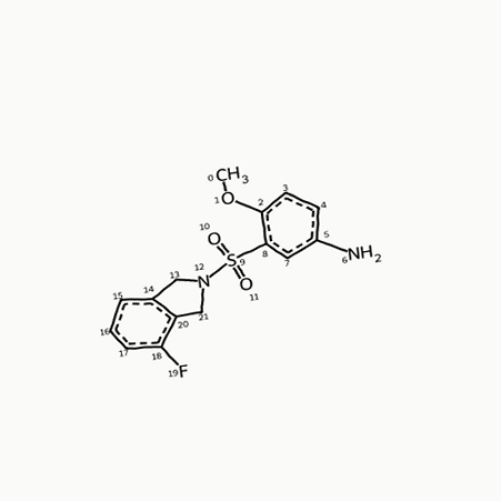 COc1ccc(N)cc1S(=O)(=O)N1Cc2cccc(F)c2C1